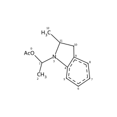 CC(=O)OC(C)N1c2ccccc2CC1C